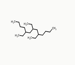 CCCCC(CC)C[C](CC)CC(CC)CCCC